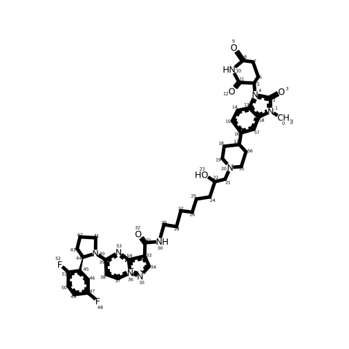 Cn1c(=O)n(C2CCC(=O)NC2=O)c2ccc(C3CCN(CC(O)CCCCCCNC(=O)c4cnn5ccc(N6CCC[C@@H]6c6cc(F)ccc6F)nc45)CC3)cc21